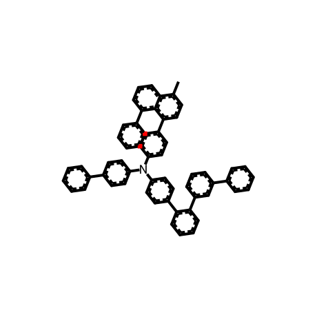 Cc1ccc(-c2ccc(N(c3ccc(-c4ccccc4)cc3)c3ccc(-c4ccccc4-c4cccc(-c5ccccc5)c4)cc3)cc2)c2c(-c3ccccc3)cccc12